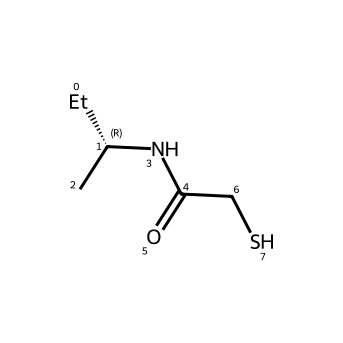 CC[C@@H](C)NC(=O)CS